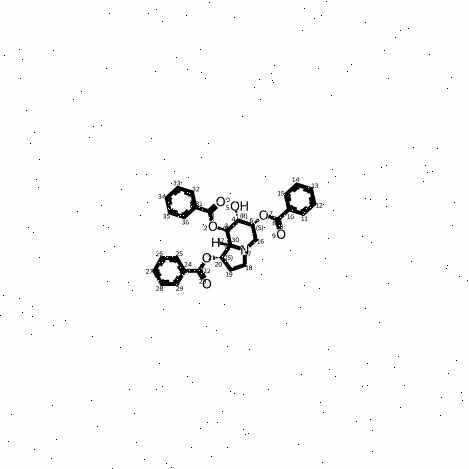 O=C(O[C@H]1[C@H](O)[C@@H](OC(=O)c2ccccc2)CN2CC[C@H](OC(=O)c3ccccc3)[C@H]12)c1ccccc1